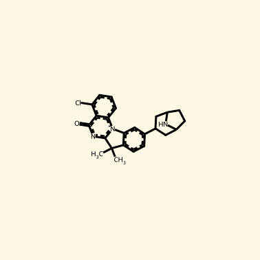 CC1(C)c2ccc(C3CC4CCC(C3)N4)cc2-n2c1nc(=O)c1c(Cl)cccc12